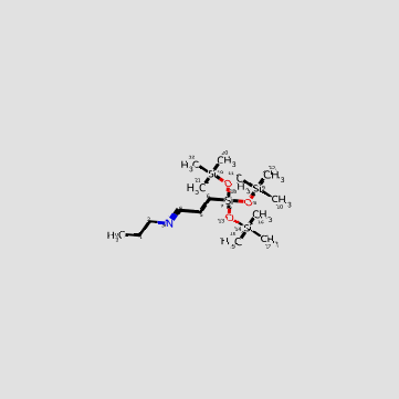 CCC/N=C/CC[Si](O[Si](C)(C)C)(O[Si](C)(C)C)O[Si](C)(C)C